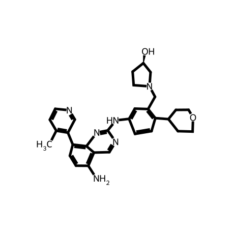 Cc1ccncc1-c1ccc(N)c2cnc(Nc3ccc(C4CCOCC4)c(CN4CC[C@@H](O)C4)c3)nc12